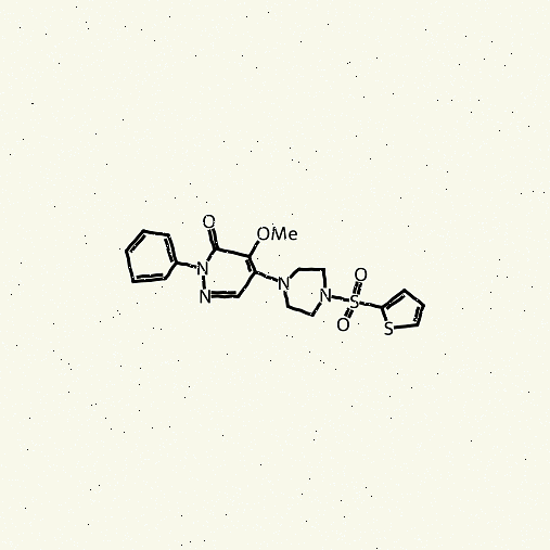 COc1c(N2CCN(S(=O)(=O)c3cccs3)CC2)cnn(-c2ccccc2)c1=O